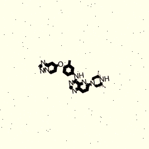 Cc1cc(Nc2ncnc3ccc(N4C[C@@H](C)N[C@@H](C)C4)nc23)ccc1Oc1ccn2ncnc2c1